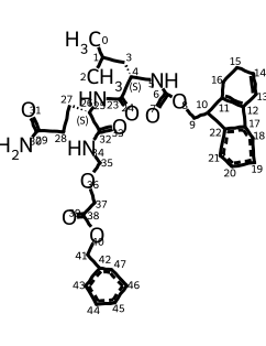 CC(C)C[C@H](NC(=O)OCC1C2=C(C=CCC2)c2ccccc21)C(=O)N[C@@H](CCC(N)=O)C(=O)NCOCC(=O)OCc1ccccc1